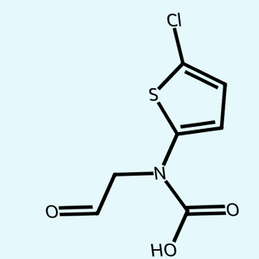 O=CCN(C(=O)O)c1ccc(Cl)s1